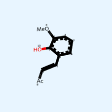 COc1cccc(C=CC(C)=O)c1O